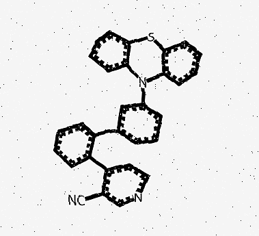 N#Cc1cnccc1-c1ccccc1-c1cccc(N2c3ccccc3Sc3ccccc32)c1